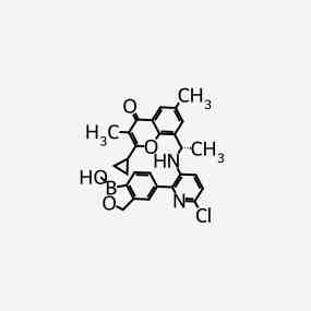 Cc1cc([C@H](C)Nc2ccc(Cl)nc2-c2ccc3c(c2)COB3O)c2oc(C3CC3)c(C)c(=O)c2c1